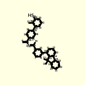 C=C(/N=C(\I)c1cccc(-c2cccc3c2C(C)(C)c2ccccc2-3)c1)c1ccc(-c2cccc(S)c2C)cc1